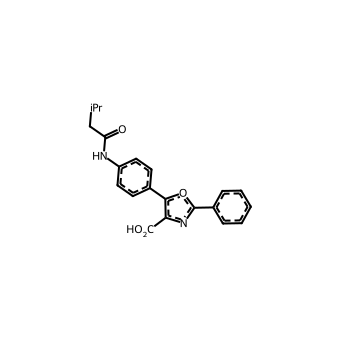 CC(C)CC(=O)Nc1ccc(-c2oc(-c3ccccc3)nc2C(=O)O)cc1